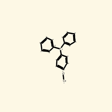 [Cl][Co].c1ccc(P(c2ccccc2)c2ccccc2)cc1